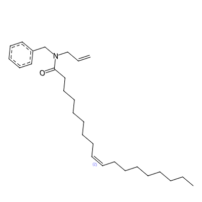 C=CCN(Cc1ccccc1)C(=O)CCCCCCC/C=C\CCCCCCCC